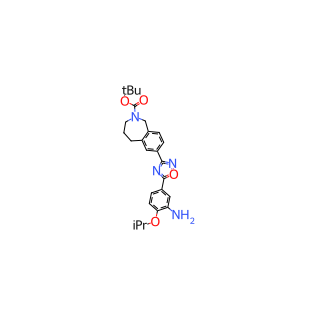 CC(C)Oc1ccc(-c2nc(-c3ccc4c(c3)CCCN(C(=O)OC(C)(C)C)C4)no2)cc1N